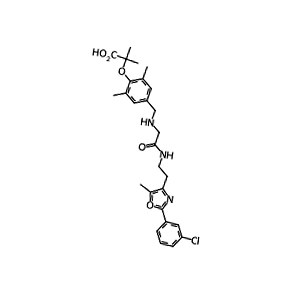 Cc1cc(CNCC(=O)NCCc2nc(-c3cccc(Cl)c3)oc2C)cc(C)c1OC(C)(C)C(=O)O